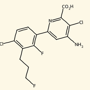 Nc1cc(-c2ccc(Cl)c(CCCF)c2F)nc(C(=O)O)c1Cl